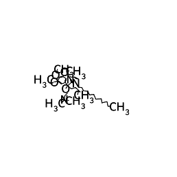 CCCCCCCCCCCCn1ccnc1C(CCCC)(OCCN(C)C)c1cc(OC)c(OC)c(OC)c1